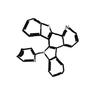 c1ccc(-n2c3ccccc3c3c4cccnc4c4sc5ccccc5c4c32)nc1